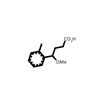 COC(CCC(=O)O)c1ccccc1C